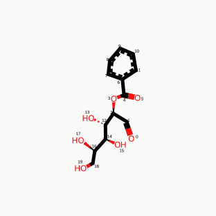 O=C[C@H](OC(=O)c1ccccc1)[C@@H](O)[C@@H](O)[C@H](O)CO